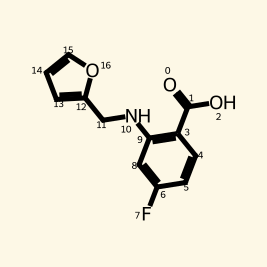 O=C(O)c1ccc(F)cc1NCc1ccco1